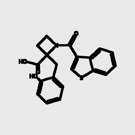 O=C(c1csc2ccccc12)N1CCC1(Cc1ccccc1O)C(=O)O